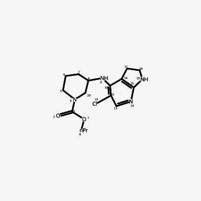 CCCOC(=O)N1CCCC(Nc2c(Cl)cnc3c2CCN3)C1